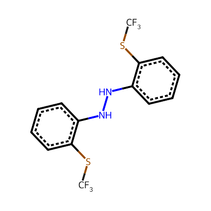 FC(F)(F)Sc1ccccc1NNc1ccccc1SC(F)(F)F